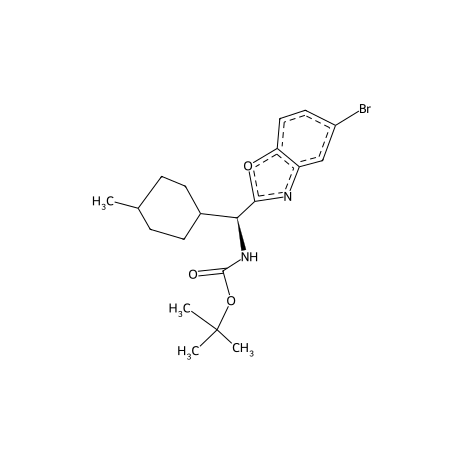 CC1CCC([C@H](NC(=O)OC(C)(C)C)c2nc3cc(Br)ccc3o2)CC1